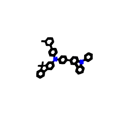 CC1C=CC=C(c2ccc(N(c3ccc(-c4ccc5c(c4)c4ccccc4n5-c4ccccc4)cc3)c3ccc4c(c3)C(C)(C)c3ccccc3-4)cc2)C1